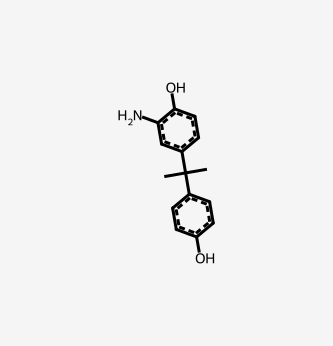 CC(C)(c1ccc(O)cc1)c1ccc(O)c(N)c1